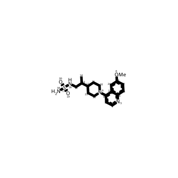 COc1ccc2nccc(N3CCC(C(C)CNS(N)(=O)=O)CC3)c2c1